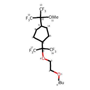 CCC(C)OCCOC(C1CCC(C(OC)(C(F)(F)F)C(F)(F)F)CC1)(C(F)(F)F)C(F)(F)F